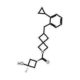 C[C@]1(O)C[C@@H](C(=O)N2CC3(CC(Cc4ccccc4C4CC4)C3)C2)C1